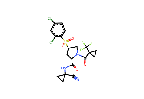 N#CC1(NC(=O)[C@@H]2C[C@@H](S(=O)(=O)c3ccc(Cl)cc3Cl)CN2C(=O)C2(C(F)(F)F)CC2)CC1